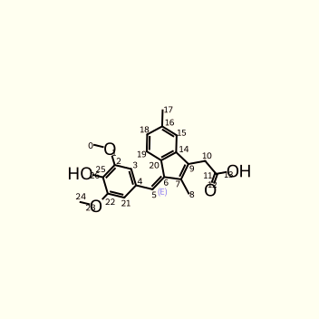 COc1cc(/C=C2/C(C)=C(CC(=O)O)c3cc(C)ccc32)cc(OC)c1O